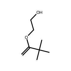 C=C(OCCO)C(C)(C)C